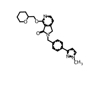 Cn1ccc(-c2ccc(CN3Cc4ccnc(OCC5CCCCO5)c4C3=O)cc2)n1